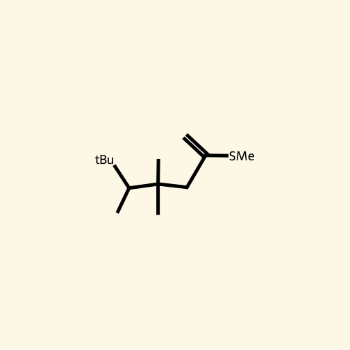 C=C(CC(C)(C)C(C)C(C)(C)C)SC